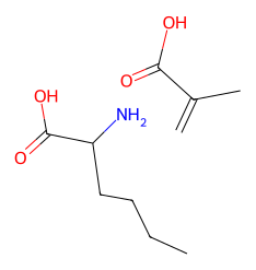 C=C(C)C(=O)O.CCCCC(N)C(=O)O